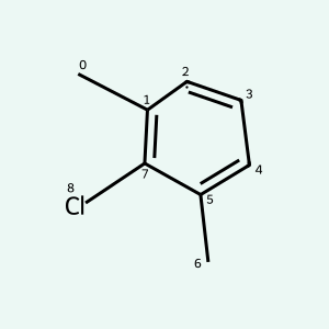 Cc1[c]ccc(C)c1Cl